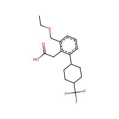 CCOCc1cccc(C2CCC(C(F)(F)F)CC2)c1CC(=O)O